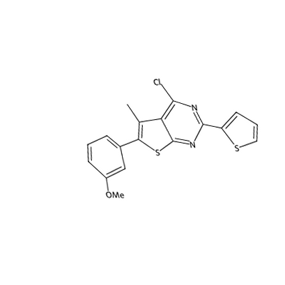 COc1cccc(-c2sc3nc(-c4cccs4)nc(Cl)c3c2C)c1